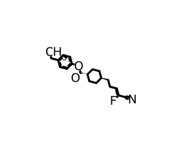 CCc1ccc(OC(=O)[C@H]2CC[C@H](CCC=C(F)C#N)CC2)cc1